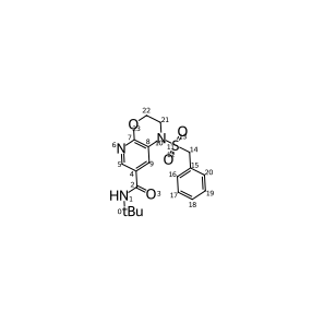 CC(C)(C)NC(=O)c1cnc2c(c1)N(S(=O)(=O)Cc1ccccc1)CCO2